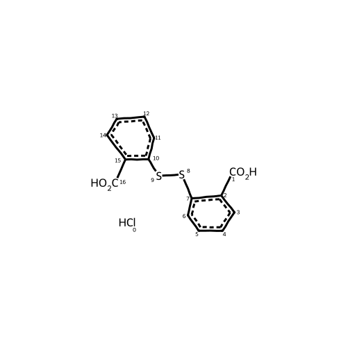 Cl.O=C(O)c1ccccc1SSc1ccccc1C(=O)O